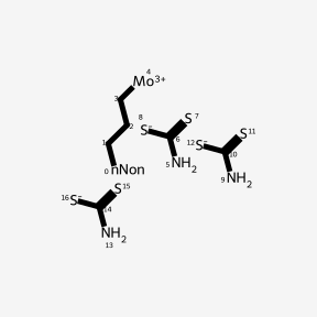 CCCCCCCCCCC[CH2][Mo+3].NC(=S)[S-].NC(=S)[S-].NC(=S)[S-]